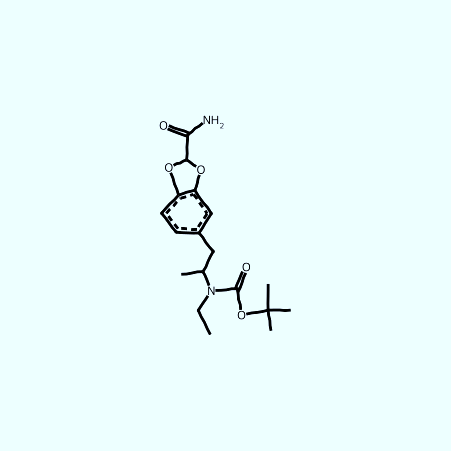 CCN(C(=O)OC(C)(C)C)C(C)Cc1ccc2c(c1)OC(C(N)=O)O2